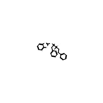 CC(CCc1ccccc1)(C(=O)O)C(Cc1ccccc1)(Sc1nc2ccccc2s1)C(=O)O